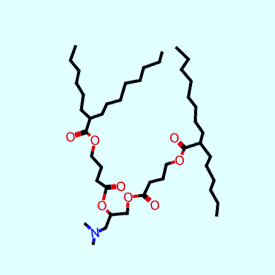 CCCCCCCCC(CCCCCC)C(=O)OCCCC(=O)OCC(CN(C)C)OC(=O)CCCOC(=O)C(CCCCCC)CCCCCCCC